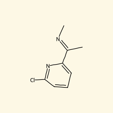 CN=C(C)c1cccc(Cl)n1